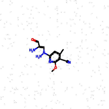 COc1nc(N(N)/C=C(\N)C=O)cc(C)c1C#N